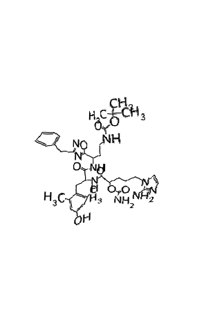 Cc1cc(O)cc(C)c1CC(NC(=O)C(CCCn1ccnc1N)OC(N)=O)C(=O)NC(CCNC(=O)OC(C)(C)C)c1nc(Cc2ccccc2)no1